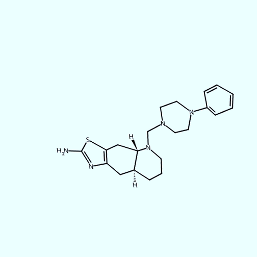 Nc1nc2c(s1)C[C@H]1[C@@H](CCCN1CN1CCN(c3ccccc3)CC1)C2